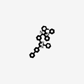 CC1CC=Cc2nc(-c3cccc(-c4cc(-c5ccc(-c6ccccc6)cc5)nc(C5=CC=CCC5)n4)c3)c3c4ccccc4n(-c4ccccc4)c3c21